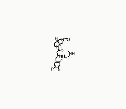 CNC.NC(CC(=O)N1CC[C@H]2CN(C=O)C[C@H]21)Cc1cc(F)c(F)cc1F